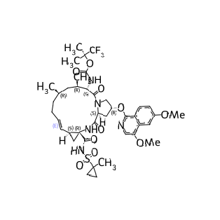 COc1ccc2c(O[C@@H]3C[C@H]4C(=O)N[C@]5(C(=O)NS(=O)(=O)C6(C)CC6)C[C@H]5/C=C/CC[C@@H](C)C[C@@H](C)[C@H](NC(=O)OC(C)(C)C(F)(F)F)C(=O)N4C3)ncc(OC)c2c1